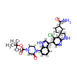 CC(C)(C)OC(=O)N1CCN(c2cccc3c(-c4cnc5c(c4Cl)[C@@]4(CCC(C(N)=O)C4)CN5)c[nH]c23)C(=O)C1